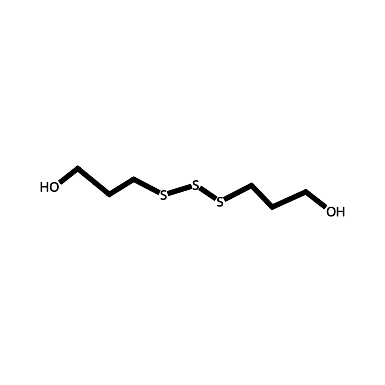 OCCCSSSCCCO